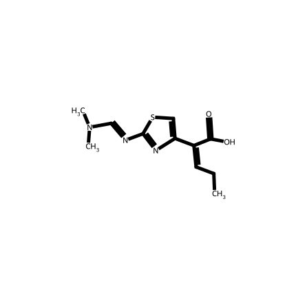 CCC=C(C(=O)O)c1csc(N=CN(C)C)n1